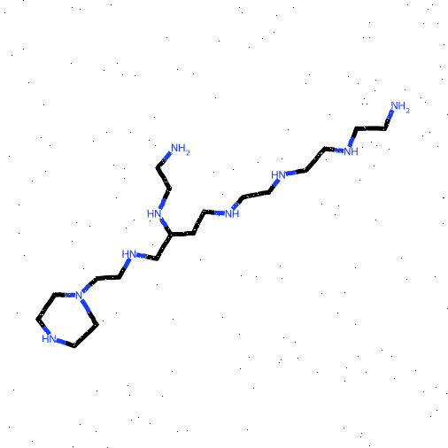 NCCNCCNCCNCCC(CNCCN1CCNCC1)NCCN